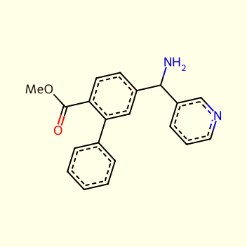 COC(=O)c1ccc(C(N)c2cccnc2)cc1-c1ccccc1